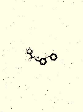 O=C(NCc1cccc(Oc2ccccc2)c1)c1cnns1